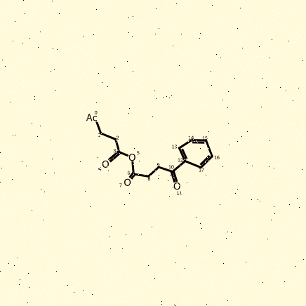 CC(=O)CCC(=O)OC(=O)CCC(=O)c1ccccc1